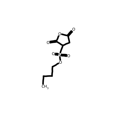 CCCCOS(=O)(=O)C1CC(=O)OC1=O